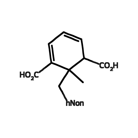 CCCCCCCCCCC1(C)C(C(=O)O)=CC=CC1C(=O)O